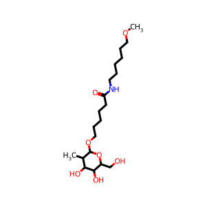 COCCCCCCNC(=O)CCCCCOC1OC(CO)C(O)C(O)C1C